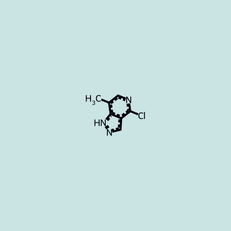 Cc1cnc(Cl)c2cn[nH]c12